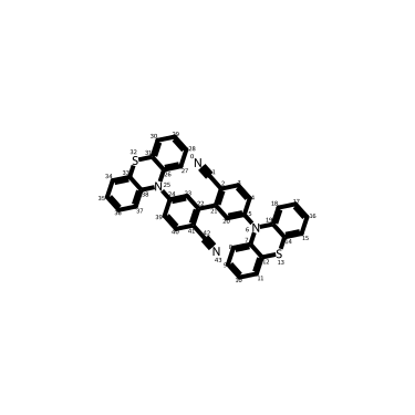 N#Cc1ccc(N2c3ccccc3Sc3ccccc32)cc1-c1cc(N2c3ccccc3Sc3ccccc32)ccc1C#N